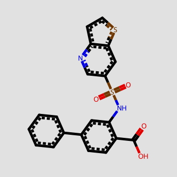 O=C(O)c1ccc(-c2ccccc2)cc1NS(=O)(=O)c1cnc2ccsc2c1